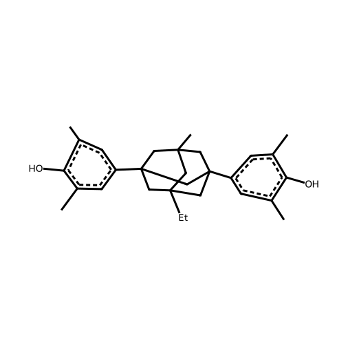 CCC12CC3(C)CC(c4cc(C)c(O)c(C)c4)(C1)CC(c1cc(C)c(O)c(C)c1)(C3)C2